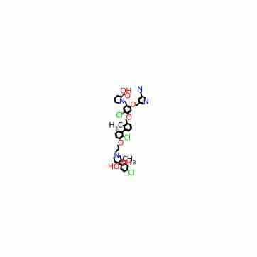 Cc1c(COc2cc(OCc3cncc(C#N)c3)c(CN3CCCC[C@H]3C(=O)O)cc2Cl)cccc1-c1cccc(OCCCN2CC[C@@](O)(c3ccc(Cl)cc3)[C@](C)(O)C2)c1Cl